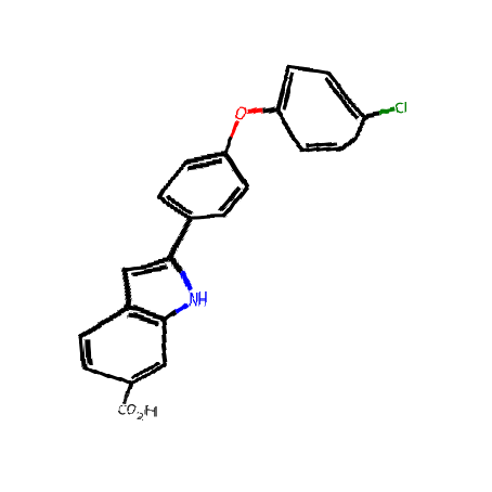 O=C(O)c1ccc2cc(-c3ccc(Oc4ccc(Cl)cc4)cc3)[nH]c2c1